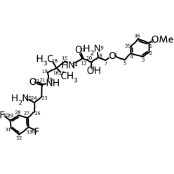 COc1ccc(COCC(N)C(O)C(=O)NCC(C)(C)CNC(=O)CC(N)Cc2cc(F)ccc2F)cc1